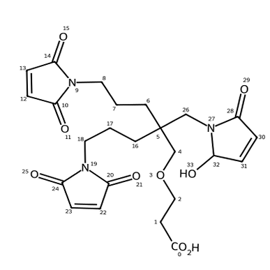 O=C(O)CCOCC(CCCN1C(=O)C=CC1=O)(CCCN1C(=O)C=CC1=O)CN1C(=O)C=CC1O